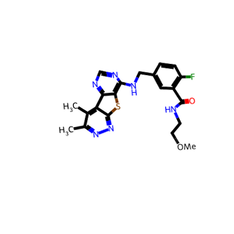 COCCNC(=O)c1cc(CNc2ncnc3c2sc2nnc(C)c(C)c23)ccc1F